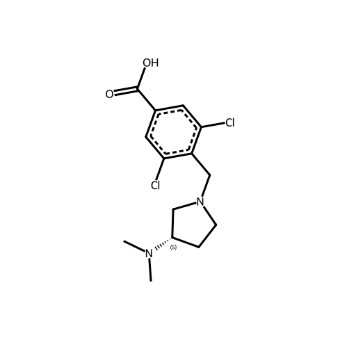 CN(C)[C@H]1CCN(Cc2c(Cl)cc(C(=O)O)cc2Cl)C1